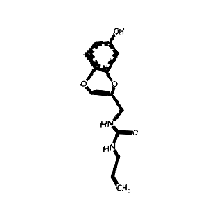 CCCNC(=O)NCC1=COc2ccc(O)cc2O1